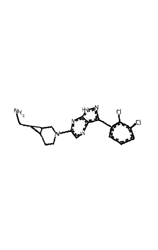 NCC1C2CCN(c3cnc4c(-c5cccc(Cl)c5Cl)n[nH]c4n3)CC12